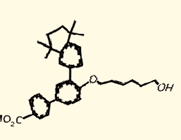 CC1(C)CCC(C)(C)c2cc(-c3cc(-c4ccc(C(=O)O)cc4)ccc3OCCCCCCO)ccc21